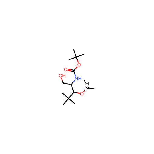 C[SiH](C)OC([C@@H](CO)NC(=O)OC(C)(C)C)C(C)(C)C